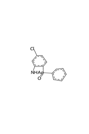 CC(=O)Nc1cc(Cl)ccc1C(=O)c1ccccc1